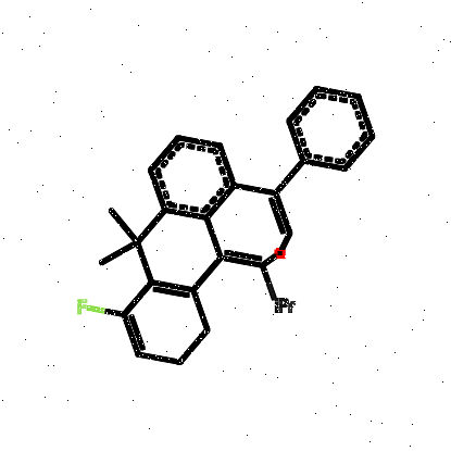 C/C=C(/c1ccccc1)c1cccc2c1/C(=C(\C)C(C)C)C1=C(C(F)=CCC1)C2(C)C